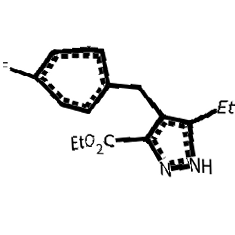 CCOC(=O)c1n[nH]c(CC)c1Cc1ccc(F)cc1